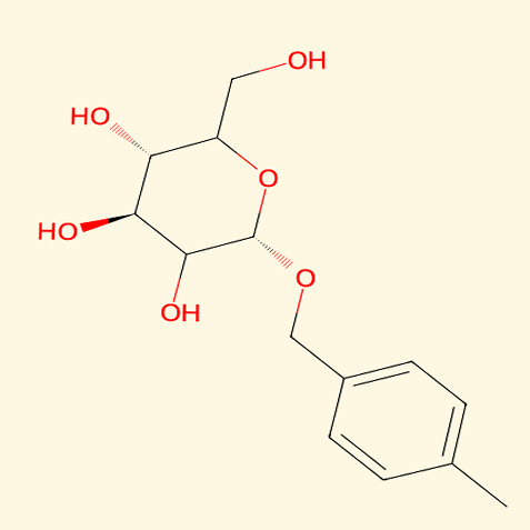 Cc1ccc(CO[C@H]2OC(CO)[C@@H](O)[C@H](O)C2O)cc1